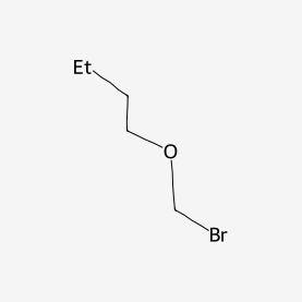 CCCCOCBr